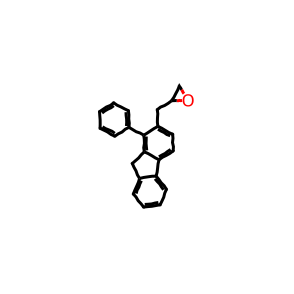 c1ccc(-c2c(CC3CO3)ccc3c2Cc2ccccc2-3)cc1